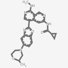 CNc1ncc(-c2nc3cc(N4CCOC(C)C4)ccc3o2)c2cc(NC(=O)C3CC3)ncc12